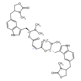 CN1C(=O)OCC1Cc1ccc2[nH]cc(C[C@H](OC(=O)/C=C\C(=O)O[C@@H](Cc3c[nH]c4ccc(CC5COC(=O)N5C)cc34)N(C)C)N(C)C)c2c1